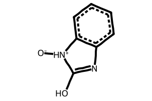 [O-][NH+]1C(O)=Nc2ccccc21